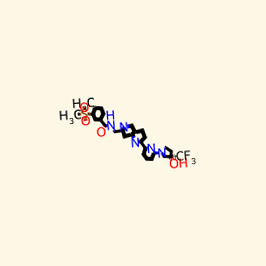 Cc1ccc(C(=O)NCc2cc3nc(-c4cccc(N5CC[C@](O)(C(F)(F)F)C5)n4)ccc3cn2)cc1S(C)(=O)=O